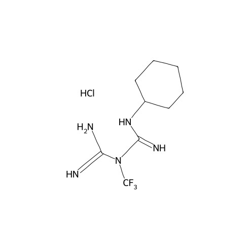 Cl.N=C(N)N(C(=N)NC1CCCCC1)C(F)(F)F